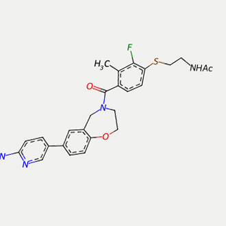 CC(=O)NCCSc1ccc(C(=O)N2CCOc3ccc(-c4ccc(N)nc4)cc3C2)c(C)c1F